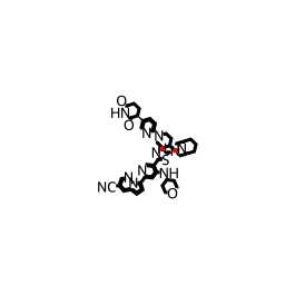 N#Cc1cnn2c(-c3cc(NC4CCOCC4)c(-c4nnc(N5CC6CCCC(C5)N6CC5CCN(c6ccc([C@@H]7CCC(=O)NC7=O)cn6)CC5)s4)cn3)ccc2c1